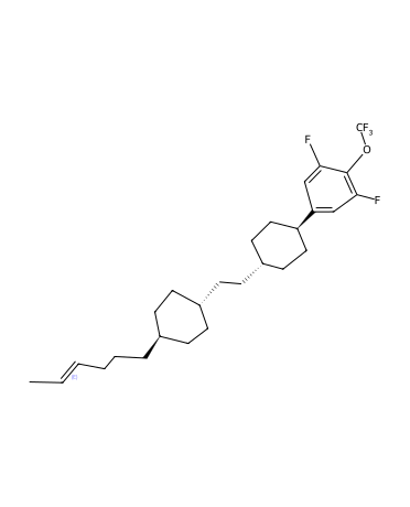 C/C=C/CCC[C@H]1CC[C@H](CC[C@H]2CC[C@H](c3cc(F)c(OC(F)(F)F)c(F)c3)CC2)CC1